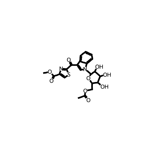 COC(=O)c1csc(C(=O)c2cn(C3OC(COC(C)=O)C(O)C(O)C3O)c3ccccc23)n1